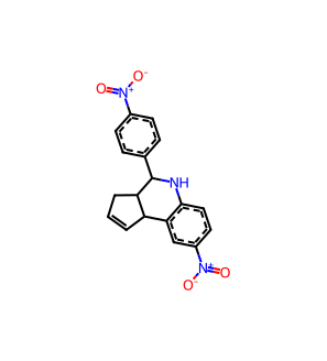 O=[N+]([O-])c1ccc(C2Nc3ccc([N+](=O)[O-])cc3C3C=CCC32)cc1